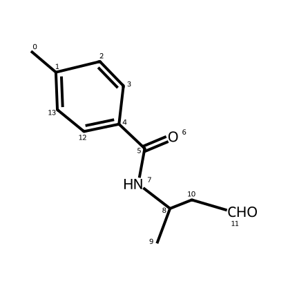 Cc1ccc(C(=O)NC(C)CC=O)cc1